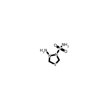 NN1CSCN1S(N)(=O)=O